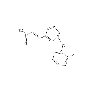 Cc1ccccc1Oc1cccc(C=CC(=O)O)c1